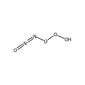 O=[N+]=NOOO